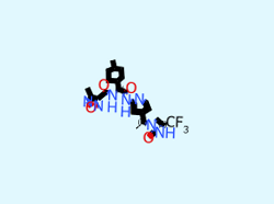 Cc1nonc1C(=O)N[C@H](C(=O)Nc1cc([C@@H](C)N2C[C@@H](C(F)(F)F)NC2=O)ccn1)C1CCC(C)CC1